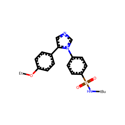 CCOc1ccc(-c2cncn2-c2ccc(S(=O)(=O)NC(C)(C)C)cc2)cc1